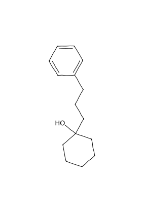 OC1(CCCc2ccccc2)CCCCC1